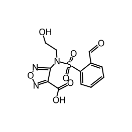 O=Cc1ccccc1S(=O)(=O)N(CCO)c1nonc1C(=O)O